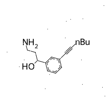 CCCCC#Cc1cccc(C(O)CCN)c1